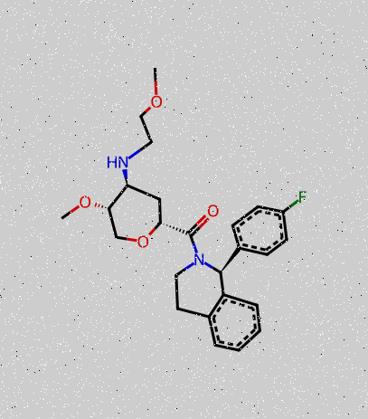 COCCN[C@H]1C[C@H](C(=O)N2CCc3ccccc3[C@@H]2c2ccc(F)cc2)OC[C@@H]1OC